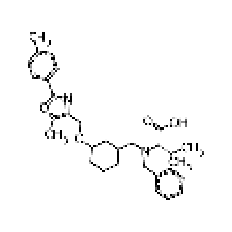 Cc1ccc(-c2nc(COC3CCCC(CN(Cc4ccccc4)[C@H](C(=O)O)C(C)C)C3)c(C)o2)cc1